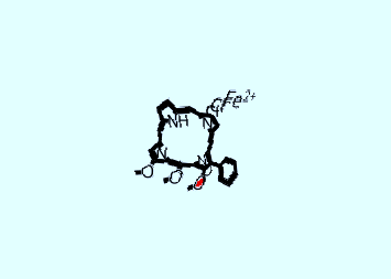 COC1=Cc2cc3ccc(cc4nc(cc5c(-c6ccccc6)c(OC)c(c(OC)c1n2)n5OC)C=C4)[nH]3.[Cl-].[Cl-].[Fe+2]